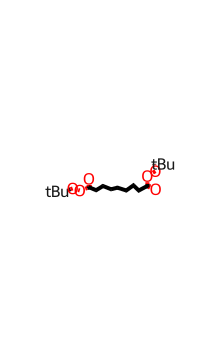 CC(C)(C)OOC(=O)CCCCCCCC(=O)OOC(C)(C)C